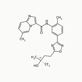 Cc1ccc2ncc(C(=O)Nc3cc(-c4noc(CC[C@](C)(O)C(F)(F)F)n4)ccc3C)n2c1